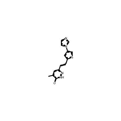 Cc1cc(C=Cc2cc(-n3ccnc3)cs2)n[nH]c1=O